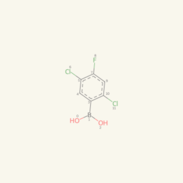 OB(O)c1cc(Cl)c(F)cc1Cl